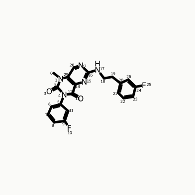 Cn1c(=O)n(-c2cccc(F)c2)c(=O)c2nc(NCCc3cccc(F)c3)ncc21